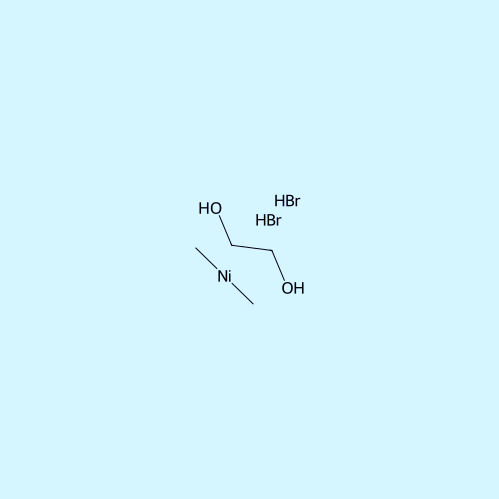 Br.Br.OCCO.[CH3][Ni][CH3]